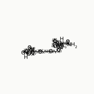 C[C@@H](OCc1ccc(CCCOCCCCCCOCCCc2cccc3c2n(C)c(=O)n3C2CCC(=O)NC2=O)cc1)[C@H](CCC(N)=O)NC(=O)[C@@H]1Cc2cccc3c2N1C(=O)CCC3